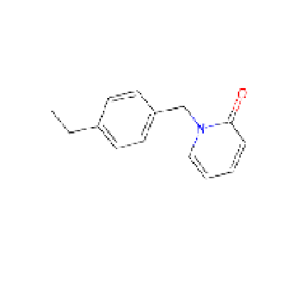 CCc1ccc(Cn2ccccc2=O)cc1